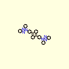 c1ccc2c(c1)B(c1ccc(-n3c4ccccc4n4c5ccccc5nc34)cc1)c1ccccc1B2c1ccc(-n2c3ccccc3n3c4ccccc4nc23)cc1